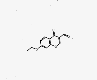 CCOc1ccc2c(=O)c(C=O)coc2c1